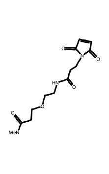 CNC(=O)CCOCCNC(=O)CCN1C(=O)C=CC1=O